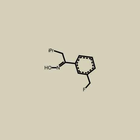 CC(C)CC(=NO)c1cccc(CF)c1